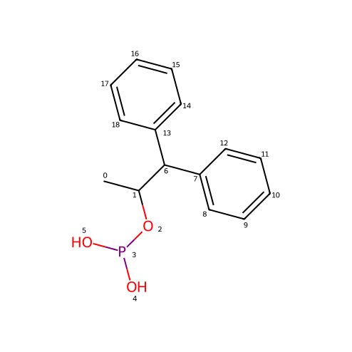 CC(OP(O)O)C(c1ccccc1)c1ccccc1